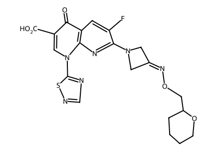 O=C(O)c1cn(-c2ncns2)c2nc(N3CC(=NOCC4CCCCO4)C3)c(F)cc2c1=O